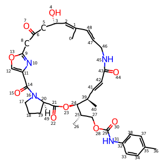 CC1=C\[C@@H](O)CC(=O)Cc2nc(co2)C(=O)N2CCC[C@@H]2C(=O)O[C@H]([C@@H](C)COC(=O)Nc2ccc(C)cc2)[C@H](C)/C=C/C(=O)NC\C=C\1